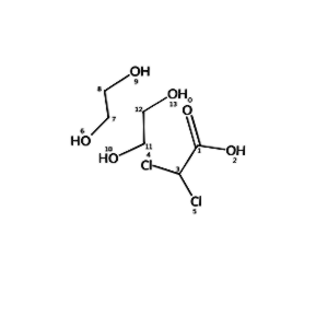 O=C(O)C(Cl)Cl.OCCO.OCCO